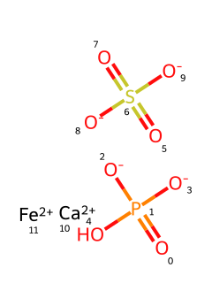 O=P([O-])([O-])O.O=S(=O)([O-])[O-].[Ca+2].[Fe+2]